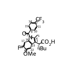 CC[C@@H](C)C(C(=O)O)c1c(C)n(C(=O)c2ccc(C(F)(F)F)cc2)c2cc(F)c(OC)cc12